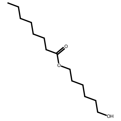 CCCCCCCC(=O)OCCCCCCO